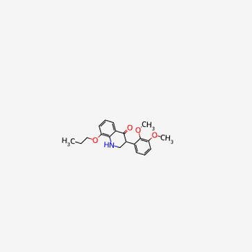 CCCOc1cccc2c1NCC(c1cccc(OC)c1OC)C2=O